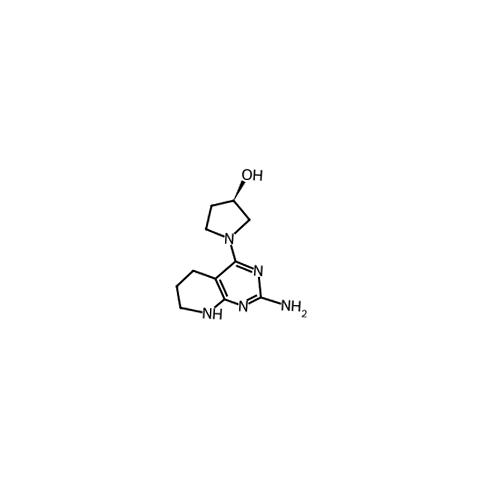 Nc1nc2c(c(N3CC[C@@H](O)C3)n1)CCCN2